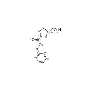 O=C(O)[C@H]1CCN(C(=O)OCc2ccccc2)C1